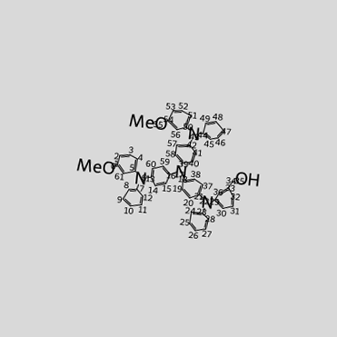 COc1cccc(N(c2ccccc2)c2ccc(N(c3ccc(N(c4ccccc4)c4cccc(CO)c4)cc3)c3ccc(N(c4ccccc4)c4cccc(OC)c4)cc3)cc2)c1